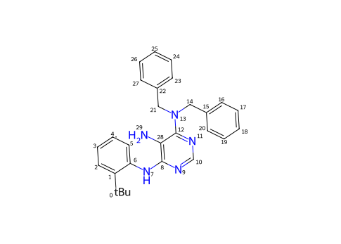 CC(C)(C)c1cc[c]cc1Nc1ncnc(N(Cc2ccccc2)Cc2ccccc2)c1N